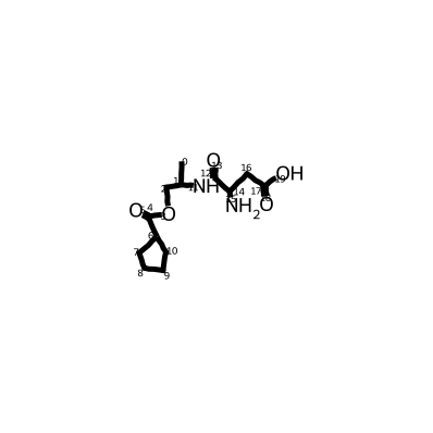 CC(COC(=O)C1CCCC1)NC(=O)C(N)CC(=O)O